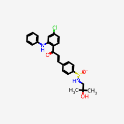 CC(C)(O)CN[S+]([O-])c1ccc(/C=C/C(=O)c2ccc(Cl)cc2Nc2ccccc2)cc1